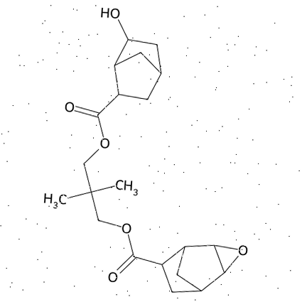 CC(C)(COC(=O)C1CC2CC(O)C1C2)COC(=O)C1CC2CC1C1OC21